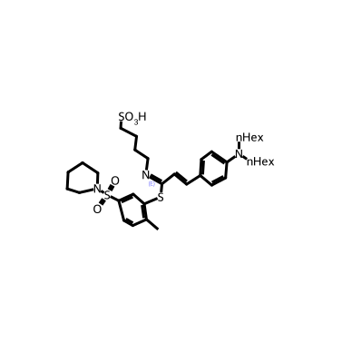 CCCCCCN(CCCCCC)c1ccc(C=C/C(=N\CCCCS(=O)(=O)O)Sc2cc(S(=O)(=O)N3CCCCC3)ccc2C)cc1